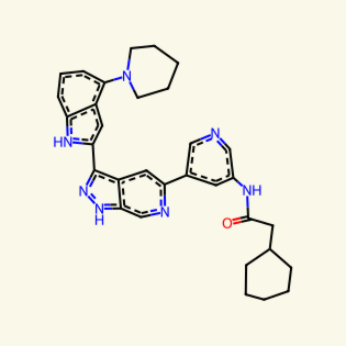 O=C(CC1CCCCC1)Nc1cncc(-c2cc3c(-c4cc5c(N6CCCCC6)cccc5[nH]4)n[nH]c3cn2)c1